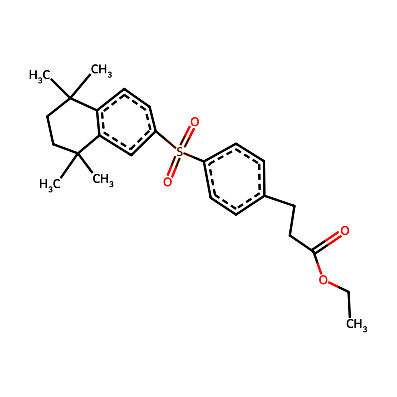 CCOC(=O)CCc1ccc(S(=O)(=O)c2ccc3c(c2)C(C)(C)CCC3(C)C)cc1